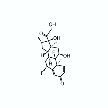 C[C@@H]1C[C@H]2[C@@H]3C[C@H](F)C4=CC(=O)C=C[C@]4(C)[C@@]3(F)[C@H](O)C[C@]2(C)[C@@]1(O)C(=O)CO